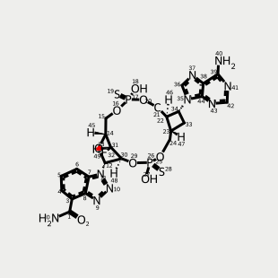 NC(=O)c1cccc2c1nnn2[C@@H]1O[C@@H]2COP(O)(=S)OC[C@@H]3[C@@H](COP(O)(=S)O[C@@H]1[C@@H]2F)C[C@H]3n1cnc2c(N)ncnc21